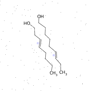 CC/C=C/CCCCCO.CCCC/C=C/CCO